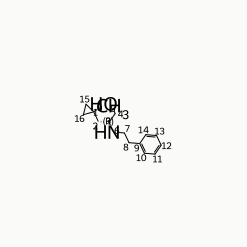 CC1(C[C@H](CO)NCCc2ccccc2)CC1